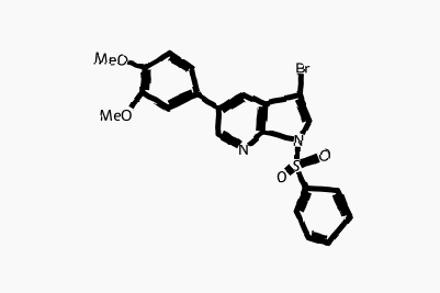 COc1ccc(-c2cnc3c(c2)c(Br)cn3S(=O)(=O)c2ccccc2)cc1OC